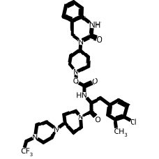 Cc1cc(CC(NC(=O)ON2CCC(N3Cc4ccccc4NC3=O)CC2)C(=O)N2CCC(N3CCN(CC(F)(F)F)CC3)CC2)ccc1Cl